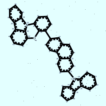 c1cc(-c2ccc3c(ccc4cc(-n5c6ccccc6c6ccccc65)ccc43)c2)c2c(c1)-n1c3ccccc3c3cccc(c31)O2